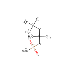 CCC(C)(C)CC(C)(C)CS(=O)(=O)NC